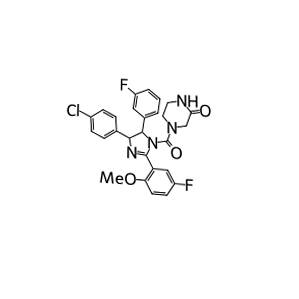 COc1ccc(F)cc1C1=NC(c2ccc(Cl)cc2)C(c2cccc(F)c2)N1C(=O)N1CCNC(=O)C1